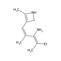 CC/C(C)=C(N)/C(C)=C\C1=C(C)NC1